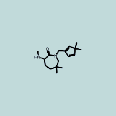 CNC1CCC(C)(C)CN(CC2=CC(C)(C)C=C2)C1=O